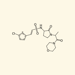 CC(C(=O)N1CCOCC1)N1CCC(NS(=O)(=O)C=Cc2ccc(Cl)s2)C1=O